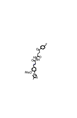 COc1cc(/C=C/C(=O)NNC(=O)CCC(=O)c2ccc(F)cc2)ccc1-n1cnc(C)c1